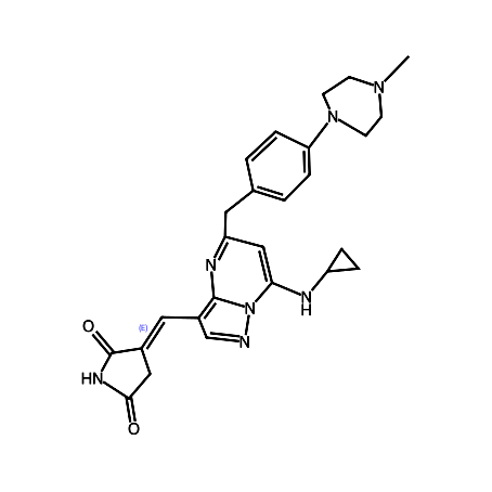 CN1CCN(c2ccc(Cc3cc(NC4CC4)n4ncc(/C=C5\CC(=O)NC5=O)c4n3)cc2)CC1